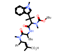 C/C(=C\C(C(C)C)N(C)C(=O)C(NC(=O)C(N(C)C(=O)OC(C)(C)C)C(C)(C)c1cn(C)c2ccccc12)C(C)(C)C)C(=O)O